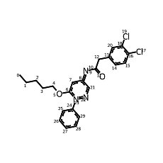 CCCCCOc1cc(=NC(=O)Cc2ccc(Cl)c(Cl)c2)cnn1-c1ccccc1